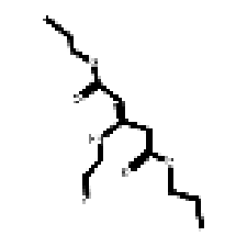 CCCOC(=O)C=C(CC(=O)OCCC)NCCCl